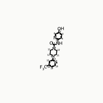 O=C(Nc1ccc(O)cn1)N1CCN(c2cc(C(F)(F)F)ccn2)CC1